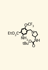 CCOC(=O)c1cc(OC(F)(F)F)c(CN2CCC(NC(=O)OC(C)(C)C)C2)cc1N